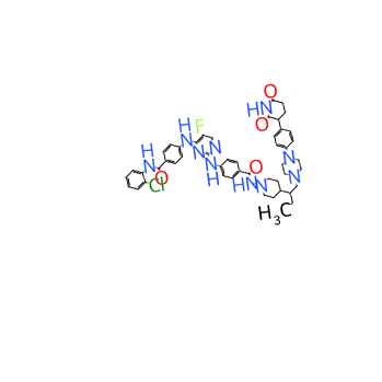 CCC(CN1CCN(c2ccc(C3CCC(=O)NC3=O)cc2)CC1)C1CCN(NC(=O)c2ccc(Nc3ncc(F)c(Nc4ccc(C(=O)Nc5ccccc5Cl)cc4)n3)cc2)CC1